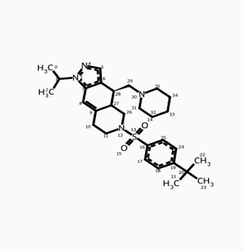 CC(C)n1ncc2c1C=C1CCN(S(=O)(=O)c3ccc(C(C)(C)C)cc3)CC1[C@@H]2CN1CCCCC1